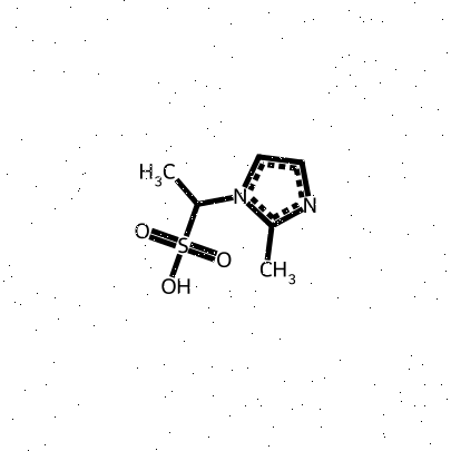 Cc1nccn1C(C)S(=O)(=O)O